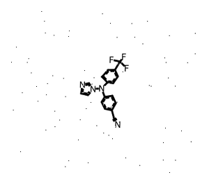 N#Cc1ccc(N(c2ccc(C(F)(F)F)cc2)n2ccnc2)cc1